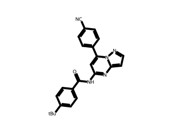 CC(C)(C)c1ccc(C(=O)Nc2cc(-c3ccc(C#N)cc3)n3nccc3n2)cc1